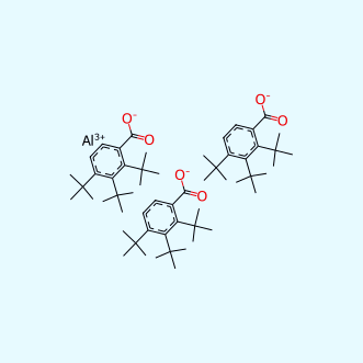 CC(C)(C)c1ccc(C(=O)[O-])c(C(C)(C)C)c1C(C)(C)C.CC(C)(C)c1ccc(C(=O)[O-])c(C(C)(C)C)c1C(C)(C)C.CC(C)(C)c1ccc(C(=O)[O-])c(C(C)(C)C)c1C(C)(C)C.[Al+3]